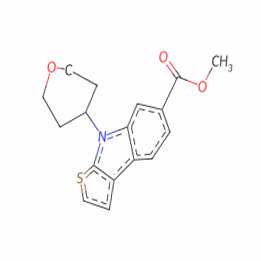 COC(=O)c1ccc2c3ccsc3n(C3CCOCC3)c2c1